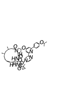 CC(C)Oc1ccc(-c2cc(O[C@@H]3C[C@H]4C(=O)N[C@]5(C(=O)NS(=O)(=O)C6(C)CC6)C[C@H]5/C=C\CC[C@@H](C)C[C@@H](C)CC(=O)N4C3)cc(-c3cnccn3)n2)cc1